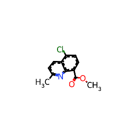 COC(=O)c1ccc(Cl)c2ccc(C)nc12